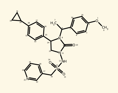 COc1ccc(C(C)N2C(=O)N(NS(=O)(=O)Cc3cccnc3)CC2c2ccc(C3CC3)cc2)cc1